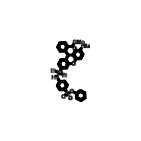 CCCCc1ccc2c(c1)C(c1ccccc1C(=O)OC)c1ccc([N+](CC)(CC)Nc3ccc(S(=O)(=O)Oc4ccccc4)cc3)cc1O2